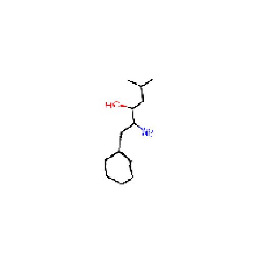 CC(C)CC(O)C([NH])CC1CCCCC1